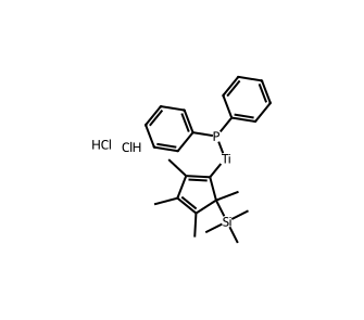 CC1=C(C)C(C)([Si](C)(C)C)[C]([Ti][P](c2ccccc2)c2ccccc2)=C1C.Cl.Cl